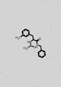 CB(O)NC(Cc1cccc(C)c1)C(=O)OCc1ccccc1